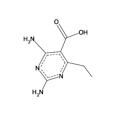 CCc1nc(N)nc(N)c1C(=O)O